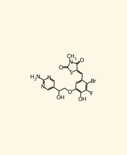 CN1C(=O)S/C(=C\c2cc(OCC(O)c3cnc(N)nc3)c(O)c(F)c2Br)C1=O